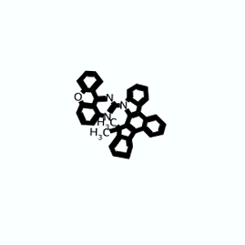 CC1(C)c2ccccc2-c2c1c1c(c3ccccc23)c2ccccc2n1-c1nc2c3c(cccc3n1)Oc1ccccc1-2